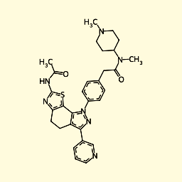 CC(=O)Nc1nc2c(s1)-c1c(c(-c3cccnc3)nn1-c1ccc(CC(=O)N(C)C3CCN(C)CC3)cc1)CC2